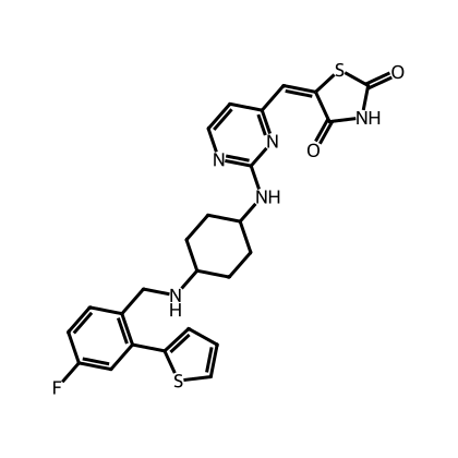 O=C1NC(=O)/C(=C\c2ccnc(NC3CCC(NCc4ccc(F)cc4-c4cccs4)CC3)n2)S1